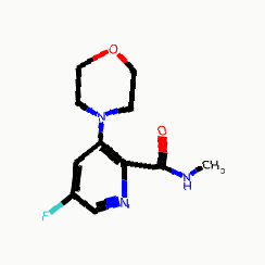 CNC(=O)c1ncc(F)cc1N1CCOCC1